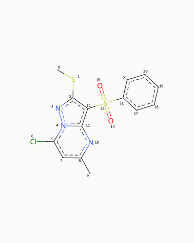 CSc1nn2c(Cl)cc(C)nc2c1S(=O)(=O)c1ccccc1